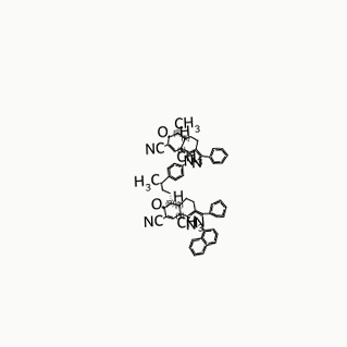 CC(CC[C@H]1C(=O)C(C#N)=C[C@@]2(C)c3nn(-c4cccc5ccccc45)c(-c4ccccc4)c3CC[C@H]12)c1ccc(-n2nc(-c3ccccc3)c3c2[C@]2(C)C=C(C#N)C(=O)[C@H](C)[C@H]2CC3)cc1